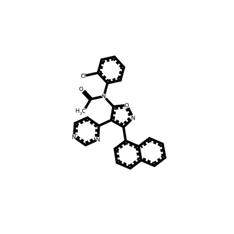 CC(=O)N(c1ccccc1Cl)c1onc(-c2cccc3ccccc23)c1-c1ccncn1